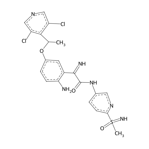 CC(Oc1ccc(N)c(C(=N)C(=O)Nc2ccc(S(C)(=N)=O)nc2)c1)c1c(Cl)cncc1Cl